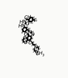 CC(NC(=O)Nc1ccc(Oc2ncnc3cc(OCCCN4CCN(C)CC4)c4c(c23)OCCO4)c(F)c1)c1ccc(F)cc1